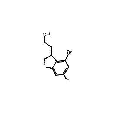 OCCC1CCc2cc(F)cc(Br)c21